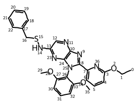 CCOc1cccc(-c2nc3ncc(NSCc4ccccc4)nc3n2-c2c(OC)cccc2OC)n1